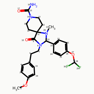 COc1ccc(CCN2C(=O)C3(CCN(C(N)=O)CC3)N(C)C2c2ccc(OC(F)F)cc2)cc1